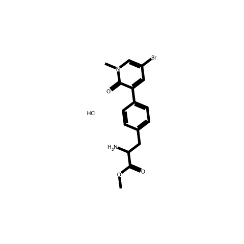 COC(=O)C(N)Cc1ccc(-c2cc(Br)cn(C)c2=O)cc1.Cl